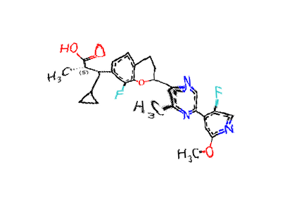 COc1cc(-c2cnc(C3CCc4ccc(C(C5CC5)[C@H](C)C(=O)O)c(F)c4O3)c(C)n2)c(F)cn1